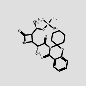 C[C@@H](O[Si](C)(C)C(C)(C)C)C1C(=O)NC1[C@@H](C)C(=O)N1C(=O)c2ccccc2OC12CCCCC2